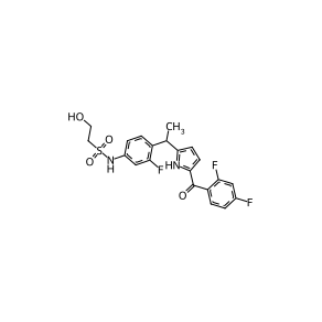 CC(c1ccc(C(=O)c2ccc(F)cc2F)[nH]1)c1ccc(NS(=O)(=O)CCO)cc1F